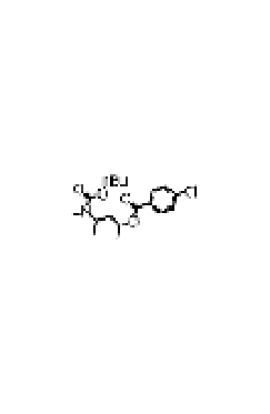 CCCCOC(=O)N(C)C(C)CC(C)OC(=O)c1ccc(Cl)cc1